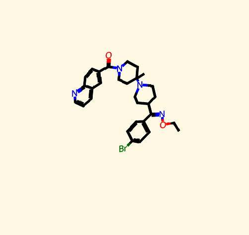 CCON=C(c1ccc(Br)cc1)C1CCN(C2(C)CCN(C(=O)c3ccc4ncccc4c3)CC2)CC1